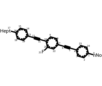 CCCCCCCCCc1ccc(C#Cc2ccc(C#Cc3ccc(CCCCCCC)cc3)c(F)c2)cc1